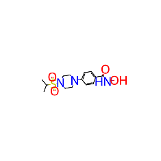 CC(C)S(=O)(=O)N1CCN(c2ccc(C(=O)NO)cc2)CC1